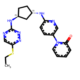 CCSc1cnc(N[C@H]2CC[C@H](Nc3ccc(-n4ccccc4=O)cn3)C2)nn1